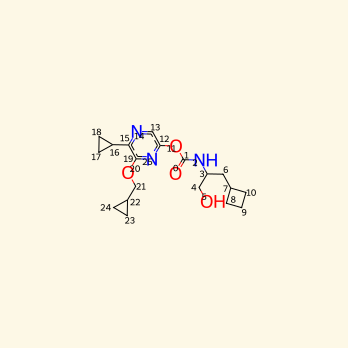 O=C(NC(CO)CC1CCC1)Oc1cnc(C2CC2)c(OCC2CC2)n1